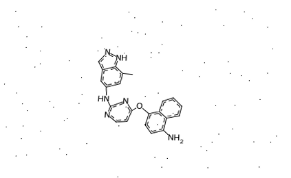 Cc1cc(Nc2nccc(Oc3ccc(N)c4ccccc34)n2)cc2cn[nH]c12